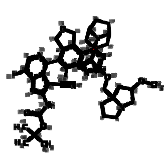 COC1CN2CCCC2(COc2nc(N3C4CCC3CN(C(=O)O)C4)c3c4c(c(-c5ncc(F)c6sc(NC(=O)OC(C)(C)C)c(C#N)c56)c(F)c3n2)COC4)C1